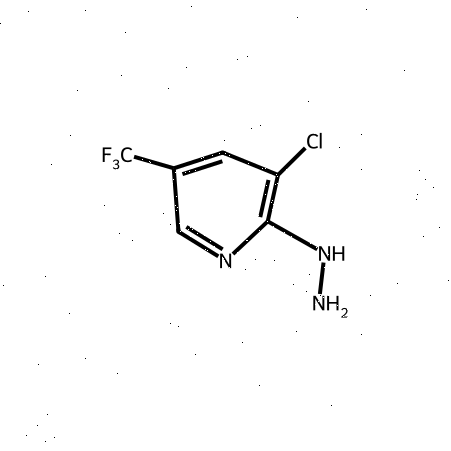 NNc1ncc(C(F)(F)F)cc1Cl